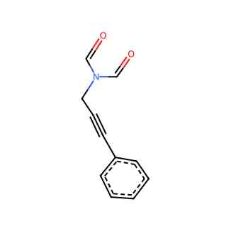 O=CN(C=O)CC#Cc1ccccc1